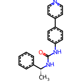 C[C@@H](NC(=O)Nc1ccc(-c2ccncc2)cc1)c1ccccc1